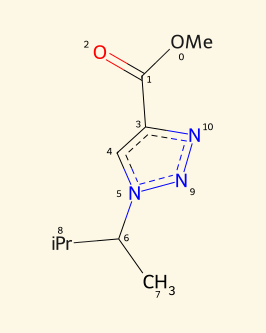 COC(=O)c1cn(C(C)C(C)C)nn1